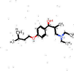 CCN(CC)CC(C)C(O)c1ccc(OCCC(C)C)cc1